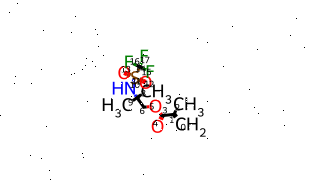 C=C(C)C(=O)OCC(C)(C)NS(=O)(=O)C(F)(F)F